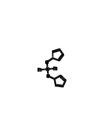 CC[Si](CC)(OC1C=CC=C1)OC1C=CC=C1